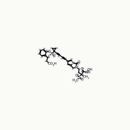 CC(CCN1Cc2cc(C#CC#CC3(P(C)(=O)Oc4ccccc4CCC(=O)O)CC3)cn2C1=O)(C(=O)NO)S(C)(=O)=O